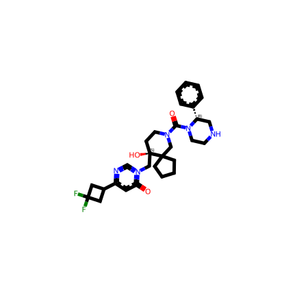 O=C(N1CC[C@@](O)(Cn2cnc(C3CC(F)(F)C3)cc2=O)C2(CCCC2)C1)N1CCNC[C@H]1c1ccccc1